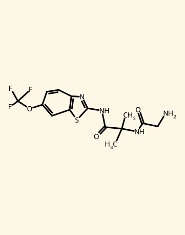 CC(C)(NC(=O)CN)C(=O)Nc1nc2ccc(OC(F)(F)F)cc2s1